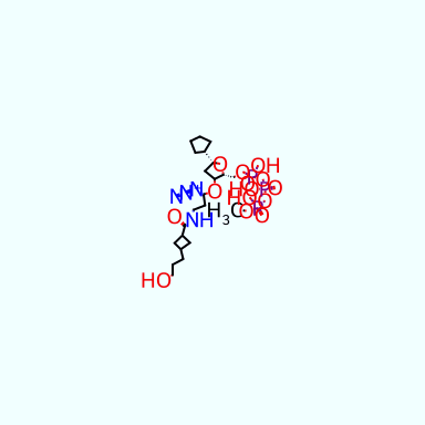 COP(=O)(O)OP(=O)(O)OP(=O)(O)OC[C@H]1O[C@@H](C2CCCC2)CC1OC(CCNC(=O)C1CC(CCCO)C1)N=[N+]=[N-]